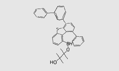 CC(C)(O)C(C)(C)OBc1cccc2sc3c(-c4cccc(-c5ccccc5)c4)ccc(-c4ccccc4)c3c12